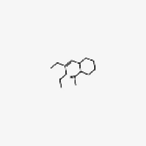 CCC/C(=C\C1CCCCC1NC)CC